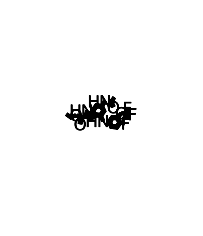 CCOC(=O)c1cc2c(Nc3ccc(F)c(OC(F)(F)F)c3)cc(NC(C)=O)cc2[nH]1